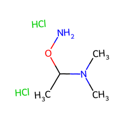 CC(ON)N(C)C.Cl.Cl